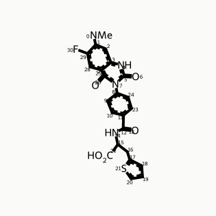 CNc1cc2[nH]c(=O)n(-c3ccc(C(=O)NC(Cc4cccs4)C(=O)O)cc3)c(=O)c2cc1F